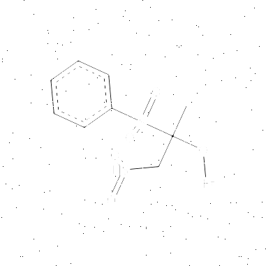 CCOC(C)(C[SH](=O)=O)S(=O)(=O)c1ccccc1